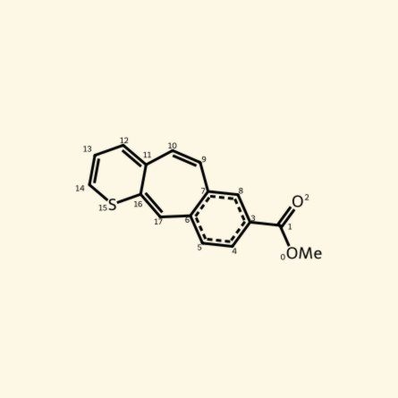 COC(=O)c1ccc2c(c1)C=CC1=CC=CSC1=C2